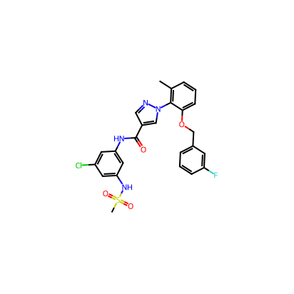 Cc1cccc(OCc2cccc(F)c2)c1-n1cc(C(=O)Nc2cc(Cl)cc(NS(C)(=O)=O)c2)cn1